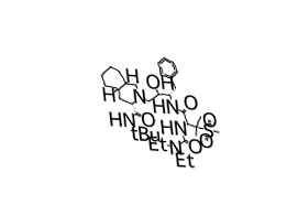 CCN(CC)C(=O)N[C@H](C(=O)N[C@@H](Cc1ccccc1)[C@H](O)CN1C[C@H]2CCCC[C@H]2C[C@H]1C(=O)NC(C)(C)C)C(C)(C)S(C)(=O)=O